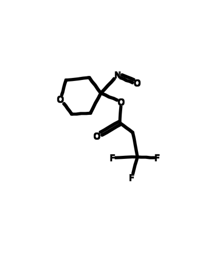 O=NC1(OC(=O)CC(F)(F)F)CCOCC1